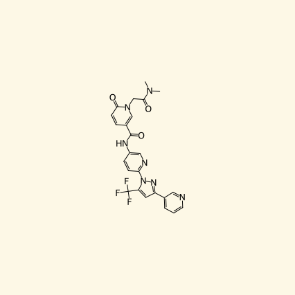 CN(C)C(=O)Cn1cc(C(=O)Nc2ccc(-n3nc(-c4cccnc4)cc3C(F)(F)F)nc2)ccc1=O